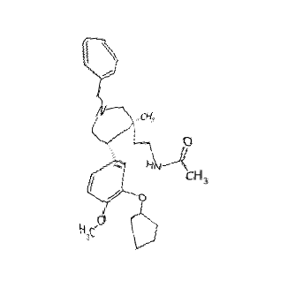 COc1ccc([C@@H]2CN(Cc3ccccc3)C[C@@]2(C)CCNC(C)=O)cc1OC1CCCC1